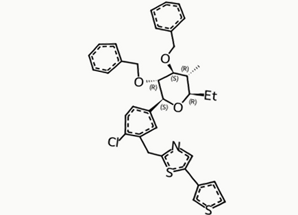 CC[C@H]1O[C@@H](c2ccc(Cl)c(Cc3ncc(-c4ccsc4)s3)c2)[C@H](OCc2ccccc2)[C@@H](OCc2ccccc2)[C@@H]1C